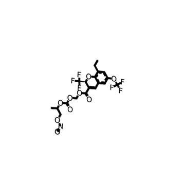 CCc1cc(OC(F)(F)F)cc2c1O[C@H](C(F)(F)F)C(C(=O)OCOC(=O)OC(C)CON=O)=C2